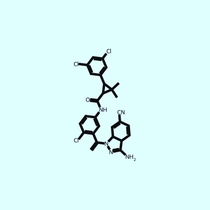 C=C(c1cc(NC(=O)C2C(c3cc(Cl)cc(Cl)c3)C2(C)C)ccc1Cl)N1N=C(N)C2C=CC(C#N)=CC21